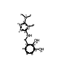 CN(C)c1nnc(NCc2cccc(O)c2O)n1C